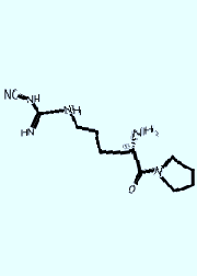 N#CNC(=N)NCCC[C@H](N)C(=O)N1CCCC1